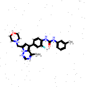 Cc1cccc(NC(=O)Nc2ccc(-c3cc(CN4CCOCC4)n4ncnc([AsH2])c34)cc2F)c1